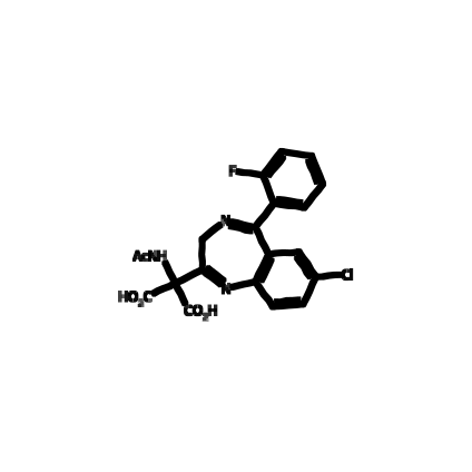 CC(=O)NC(C(=O)O)(C(=O)O)C1=Nc2ccc(Cl)cc2C(c2ccccc2F)=NC1